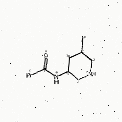 CC1CNCC(NC(=O)C(C)C)C1